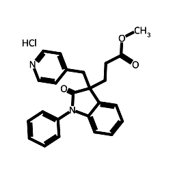 COC(=O)CCC1(Cc2ccncc2)C(=O)N(c2ccccc2)c2ccccc21.Cl